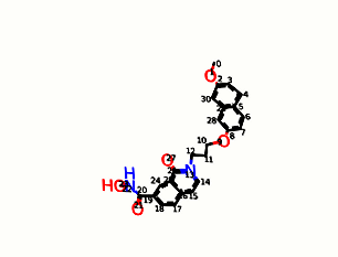 COc1ccc2ccc(OCCCn3ccc4ccc(C(=O)NO)cc4c3=O)cc2c1